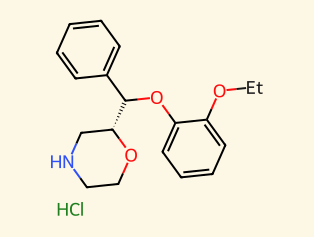 CCOc1ccccc1OC(c1ccccc1)[C@H]1CNCCO1.Cl